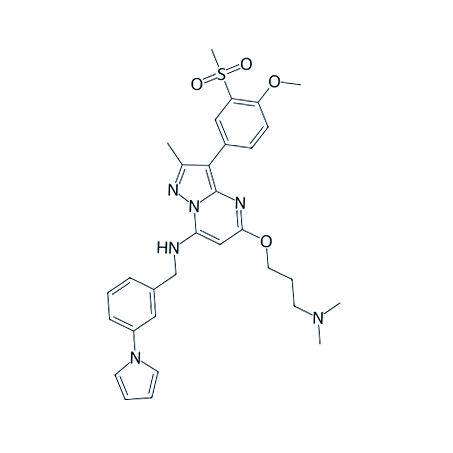 COc1ccc(-c2c(C)nn3c(NCc4cccc(-n5cccc5)c4)cc(OCCCN(C)C)nc23)cc1S(C)(=O)=O